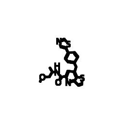 COCC(C)NC(=O)c1cc(Cc2ccc(-c3cncs3)cc2)c2sccc2n1